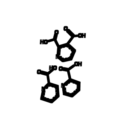 O=C(O)c1ccccn1.O=C(O)c1ccccn1.O=C(O)c1cccnc1C(=O)O